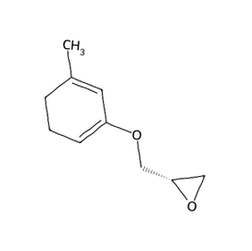 CC1=CC(OC[C@@H]2CO2)=CCC1